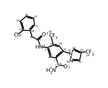 N[S+]([O-])c1cc(NC(=O)Cc2ccccc2Cl)c(C(F)(F)F)cc1-n1cc(C(F)(F)F)cn1